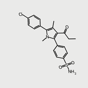 CCC(=O)c1c(C)c(-c2ccc(Cl)cc2)n(C)c1-c1ccc(S(N)(=O)=O)cc1